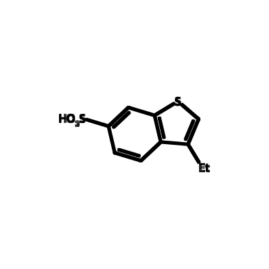 CCc1csc2cc(S(=O)(=O)O)ccc12